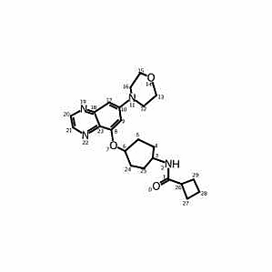 O=C(NC1CCC(Oc2cc(N3CCOCC3)cc3nccnc23)CC1)C1CCC1